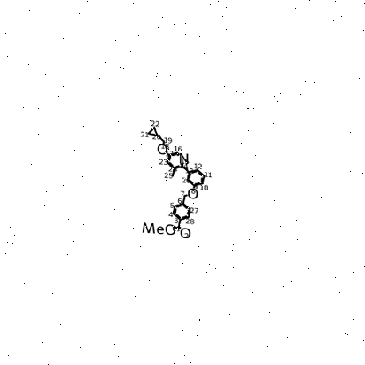 COC(=O)c1ccc(COc2cccc(-c3ncc(OCC4CC4)cc3C)c2)cc1